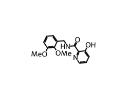 COc1cccc(CNC(=O)c2ncccc2O)c1OC